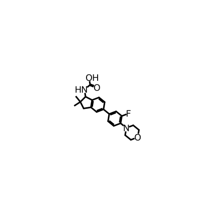 CC1(C)Cc2cc(-c3ccc(N4CCOCC4)c(F)c3)ccc2C1NC(=O)O